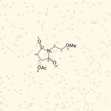 COCCN1C(=O)C[C@@H](OC(C)=O)C1=O